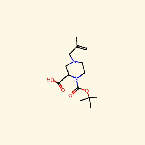 C=C(C)CN1CCN(C(=O)OC(C)(C)C)C(C(=O)O)C1